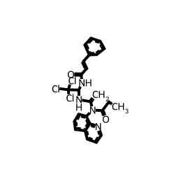 C=C(NC(NC(=O)/C=C/c1ccccc1)C(Cl)(Cl)Cl)N(C(=O)CC)c1cccc2cccnc12